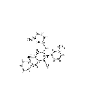 O=C(c1cc2ccccc2[nH]c1=O)N(CCc1cccc(Cl)c1)c1cccc(C(F)(F)F)c1